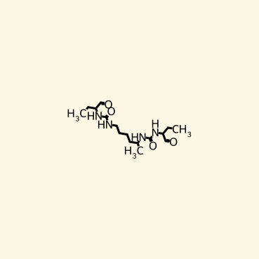 CCC(C=O)NC(=O)NCCCCC(C)NC(=O)NC(C=O)CC